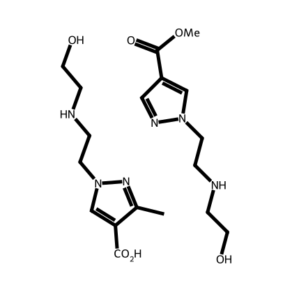 COC(=O)c1cnn(CCNCCO)c1.Cc1nn(CCNCCO)cc1C(=O)O